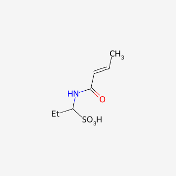 CC=CC(=O)NC(CC)S(=O)(=O)O